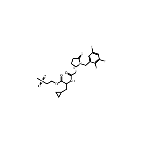 CS(=O)(=O)CCOC(=O)C(CC1CC1)NC(=O)C[C@@H]1CCC(=O)N1Cc1cc(F)cc(F)c1F